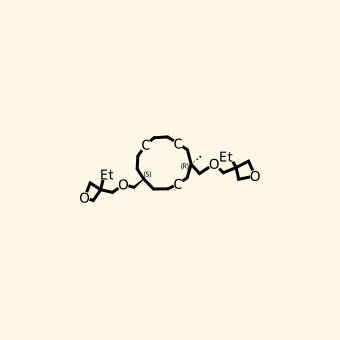 CCC1(COC[C@H]2CCCCCCC[C@@](C)(COCC3(CC)COC3)CCCC2)COC1